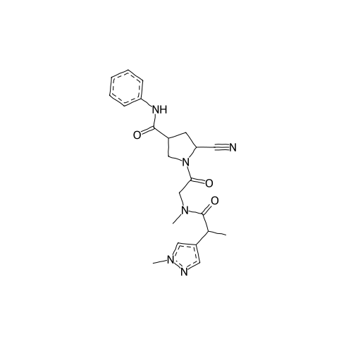 CC(C(=O)N(C)CC(=O)N1CC(C(=O)Nc2ccccc2)CC1C#N)c1cnn(C)c1